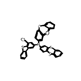 Clc1cc(N(c2ccc3c(c2)Oc2ccccc2O3)c2ccc3c(c2)Sc2ccccc2S3)cc2c1sc1ccccc12